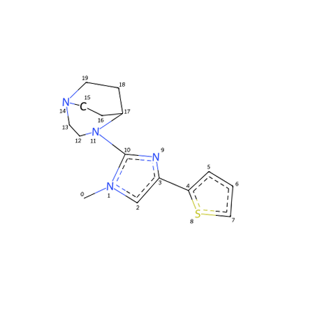 Cn1cc(-c2cccs2)nc1N1CCN2CCC1CC2